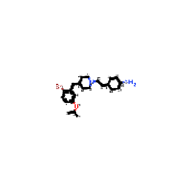 CC(C)Oc1ccc(Br)c(CC2CCN(CCC3CCC(N)CC3)CC2)c1